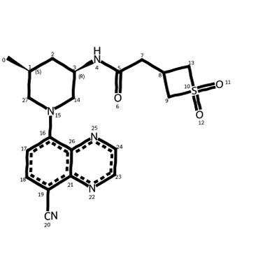 C[C@H]1C[C@@H](NC(=O)CC2CS(=O)(=O)C2)CN(c2ccc(C#N)c3nccnc23)C1